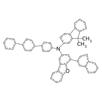 CC1(C)c2ccccc2-c2ccc(N(c3ccc(-c4ccc(-c5ccccc5)cc4)cc3)c3cc(-c4ccc5ccccc5c4)c4oc5ccccc5c4c3)cc21